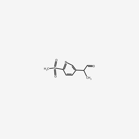 CC(C=O)c1ccc(S(C)(=O)=O)nc1